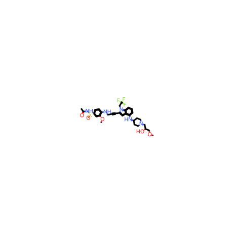 COCC(O)CN1CCC(Nc2cccc3c2cc(C#CCNc2ccc([S+]([O-])NC(C)=O)cc2OC)n3CC(F)(F)F)CC1